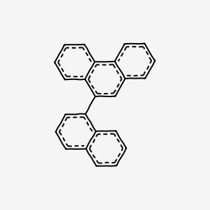 c1ccc2c(-c3cc4ccccc4c4ccccc34)cccc2c1